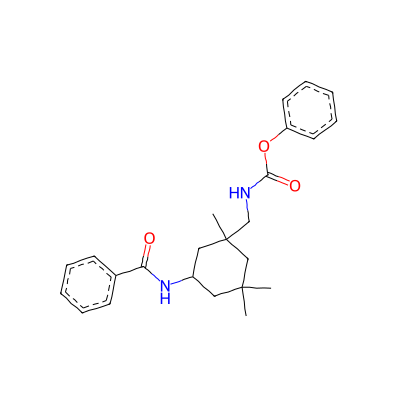 CC1(C)CC(NC(=O)c2ccccc2)CC(C)(CNC(=O)Oc2ccccc2)C1